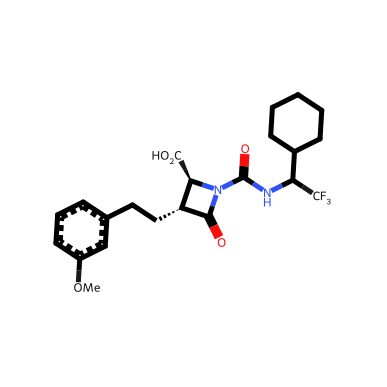 COc1cccc(CC[C@H]2C(=O)N(C(=O)NC(C3CCCCC3)C(F)(F)F)[C@@H]2C(=O)O)c1